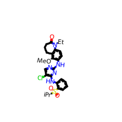 CCN1C(=O)CCCc2c1ccc(Nc1ncc(Cl)c(Nc3ccccc3S(=O)(=O)C(C)C)n1)c2OC